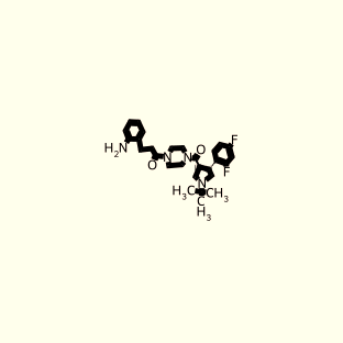 CC(C)(C)N1C[C@@H](C(=O)N2CCN(C(=O)CCc3ccccc3N)CC2)[C@H](c2ccc(F)cc2F)C1